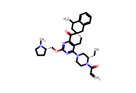 C=CC(=O)N1CCN(c2nc(OC[C@@H]3CCCN3C)nc3c2CC[C@]2(Cc4ccccc4C(C)C2)C3=O)C[C@@H]1CC#N